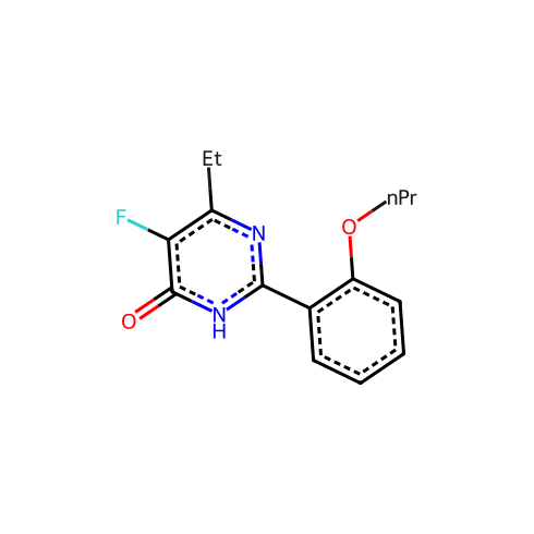 CCCOc1ccccc1-c1nc(CC)c(F)c(=O)[nH]1